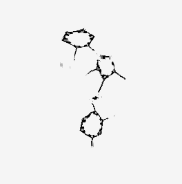 CCCCc1ccccc1-n1nc(C)c(N=Nc2ccc(C(=O)O)cc2O)c1O